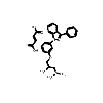 CC(COc1cccc(-n2nc(-c3ccccc3)c3cccnc32)c1)CN(C)C.O=C(O)C=CC(=O)O